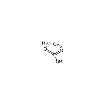 O.O.O=P(=O)O